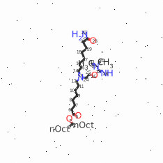 CCCCCCCCC(CCCCCCCC)OC(=O)CCCCCCCN(CCCCCCCC(N)=O)CCOC(=N)N(C)C